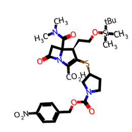 CN(C)C(=O)C12CC(=O)N1C(C(=O)O)=C(S[C@H]1CCN(C(=O)OCc3ccc([N+](=O)[O-])cc3)C1)[C@@H]2CCO[Si](C)(C)C(C)(C)C